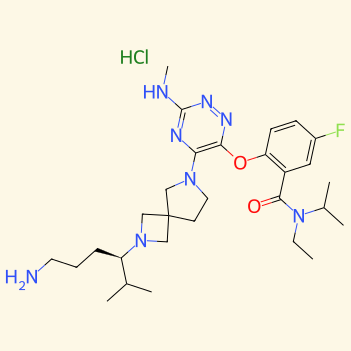 CCN(C(=O)c1cc(F)ccc1Oc1nnc(NC)nc1N1CCC2(C1)CN([C@H](CCCN)C(C)C)C2)C(C)C.Cl